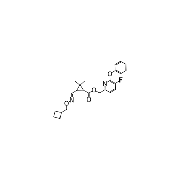 CC1(C)C(C=NOCC2CCC2)C1C(=O)OCc1ccc(F)c(Oc2ccccc2)n1